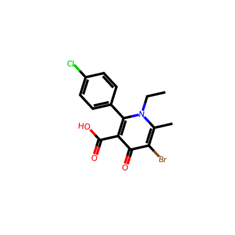 CCn1c(C)c(Br)c(=O)c(C(=O)O)c1-c1ccc(Cl)cc1